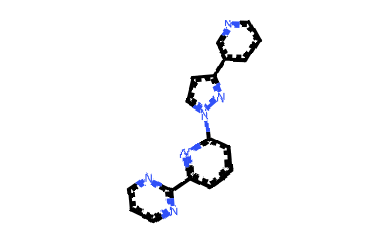 c1cnc(-c2cccc(-n3ccc(-c4cccnc4)n3)n2)nc1